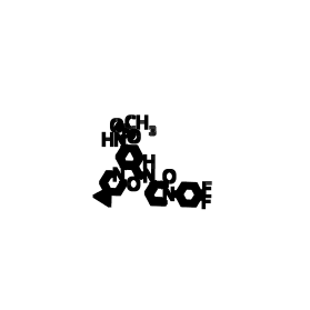 CS(=O)(=O)Nc1ccc(C(=O)Nc2cccn(C3CCC(F)(F)CC3)c2=O)c(N2CCC3(CC2)CC3)c1